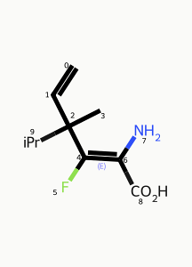 C=CC(C)(/C(F)=C(\N)C(=O)O)C(C)C